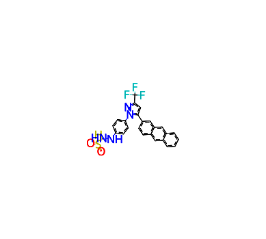 O=[SH](=O)NNc1ccc(-n2nc(C(F)(F)F)cc2-c2ccc3cc4ccccc4cc3c2)cc1